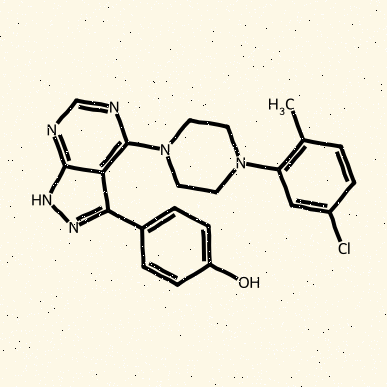 Cc1ccc(Cl)cc1N1CCN(c2ncnc3[nH]nc(-c4ccc(O)cc4)c23)CC1